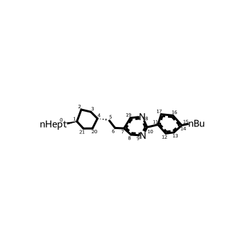 CCCCCCC[C@H]1CC[C@H](CCc2cnc(-c3ccc(CCCC)cc3)nc2)CC1